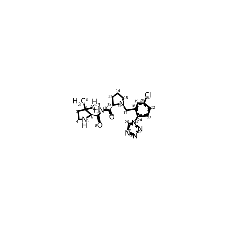 CC1(C)CCN[C@@H]1C(=O)NC(=O)[C@@H]1CCCN1Cc1cc(Cl)ccc1-n1cnnn1